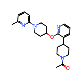 CC(=O)N1CCC(c2cccnc2OC2CCN(c3cccc(C)n3)CC2)CC1